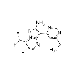 CSc1cc(-c2c(N)nn3c(C(F)F)c(F)cnc23)ncn1